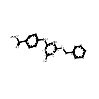 COC(=O)c1ccc(Nc2nc(Cl)nc(OCc3ccccc3)n2)cc1